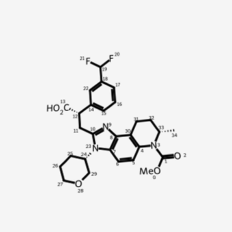 COC(=O)N1c2ccc3c(nc(C[C@H](C(=O)O)c4cccc(C(F)F)c4)n3[C@H]3CCCOC3)c2CC[C@@H]1C